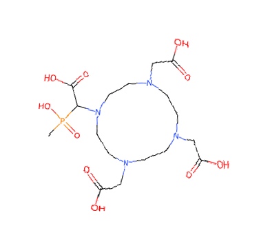 CP(=O)(O)C(C(=O)O)N1CCN(CC(=O)O)CCN(CC(=O)O)CCN(CC(=O)O)CC1